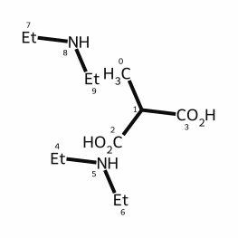 CC(C(=O)O)C(=O)O.CCNCC.CCNCC